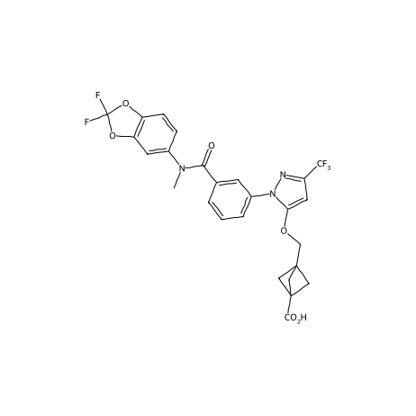 CN(C(=O)c1cccc(-n2nc(C(F)(F)F)cc2OCC23CC(C(=O)O)(C2)C3)c1)c1ccc2c(c1)OC(F)(F)O2